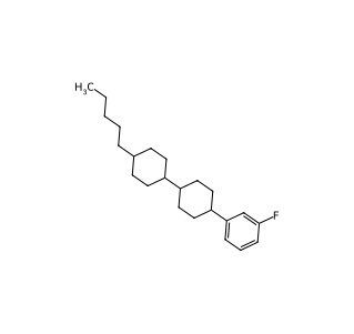 CCCCCC1CCC(C2CCC(c3cccc(F)c3)CC2)CC1